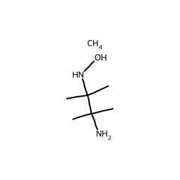 C.CC(C)(N)C(C)(C)NO